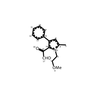 COCCn1c(C)cc(-c2ccccc2)c1C(=O)[C]=O